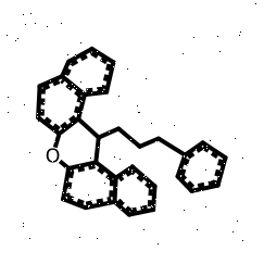 c1ccc(CCCC2c3c(ccc4ccccc34)Oc3ccc4ccccc4c32)cc1